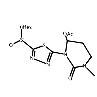 CCCCCC[S+]([O-])c1nnc(N2C(=O)N(C)CCC2OC(C)=O)s1